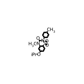 Cc1ccc(N2C(=O)N(C)c3cc(OC(C)C)ccc3S2(=O)=O)cc1